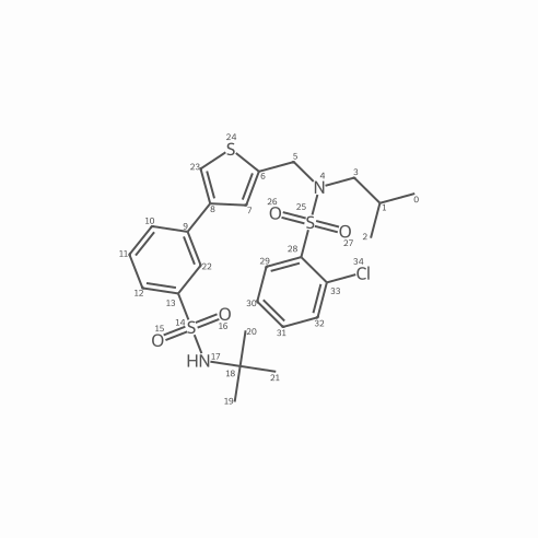 CC(C)CN(Cc1cc(-c2cccc(S(=O)(=O)NC(C)(C)C)c2)cs1)S(=O)(=O)c1ccccc1Cl